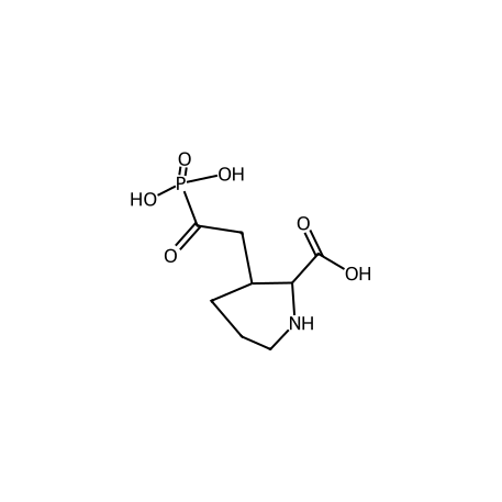 O=C(O)C1NCCCC1CC(=O)P(=O)(O)O